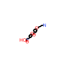 N#CCCCCO[C@H]1C=C[C@@H](C(=O)O[C@@H]2C=CC(/C=C/C(=O)O)=CC2)CC1